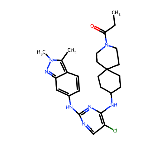 CCC(=O)N1CCC2(CCC(Nc3nc(Nc4ccc5c(C)n(C)nc5c4)ncc3Cl)CC2)CC1